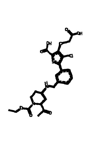 CCOC(=O)N1CCC(NCc2cccc(-c3sc(C(=O)O)c(OCC(=O)O)c3Cl)c2)CC1C(C)=O